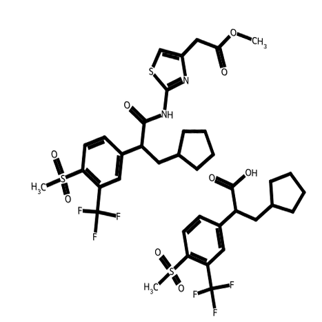 COC(=O)Cc1csc(NC(=O)C(CC2CCCC2)c2ccc(S(C)(=O)=O)c(C(F)(F)F)c2)n1.CS(=O)(=O)c1ccc(C(CC2CCCC2)C(=O)O)cc1C(F)(F)F